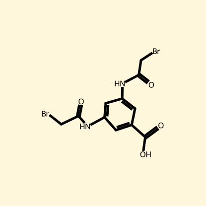 O=C(CBr)Nc1cc(NC(=O)CBr)cc(C(=O)O)c1